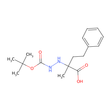 CC(C)(C)OC(=O)NNC(C)(CCc1ccccc1)C(=O)O